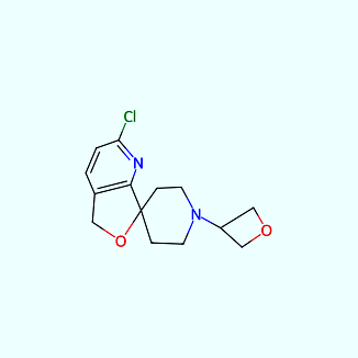 Clc1ccc2c(n1)C1(CCN(C3COC3)CC1)OC2